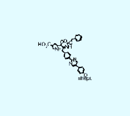 CCCCCCCOc1ccc(-c2cnc(-c3ccc(C[C@H](NC(=O)OCc4ccccc4)C(=O)C4CC(C(=O)O)CN4)cc3)nc2)cc1